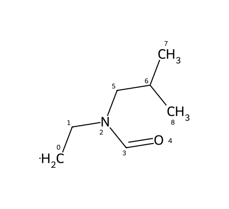 [CH2]CN(C=O)CC(C)C